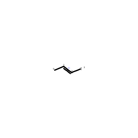 C/C=[C]/I